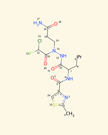 Cc1nc(C(=O)NC(CC(C)C)C(=O)NN(CCC(N)=O)C(=O)C(F)Cl)cs1